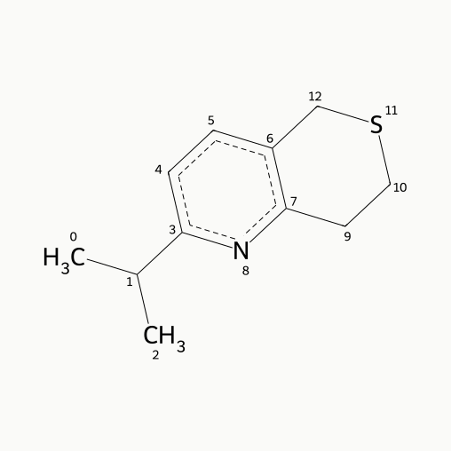 CC(C)c1ccc2c(n1)CCSC2